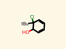 CC(C)(C)C1(Cl)C=CC=CC1O